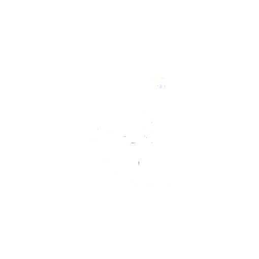 CC(=O)O[C@@H](CCC1C(=O)N(c2ccc(CCCNS(C)(=O)=O)cc2)[C@@H]1c1ccc(OS(=O)(=O)C(F)(F)F)cc1OCc1ccccc1)c1ccc(F)cc1